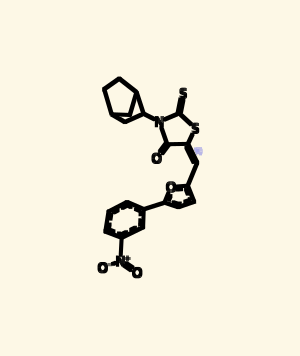 O=C1/C(=C\c2ccc(-c3cccc([N+](=O)[O-])c3)o2)SC(=S)N1C1CC2CCC1C2